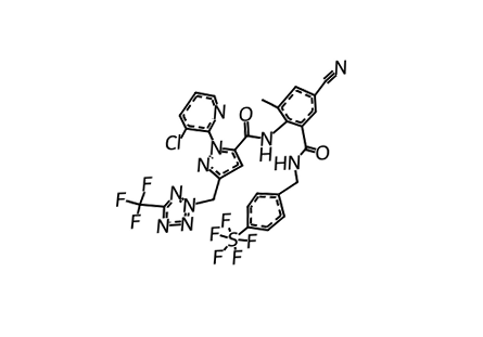 Cc1cc(C#N)cc(C(=O)NCc2ccc(S(F)(F)(F)(F)F)cc2)c1NC(=O)c1cc(Cn2nnc(C(F)(F)F)n2)nn1-c1ncccc1Cl